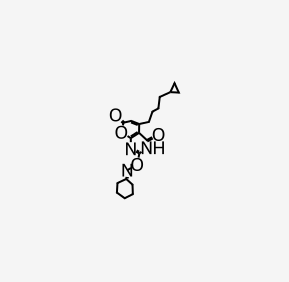 O=c1cc(CCCCC2CC2)c2c(=O)[nH]c(ON=C3CCCCC3)nc2o1